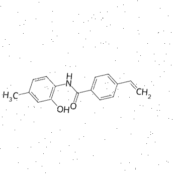 C=Cc1ccc(C(=O)Nc2ccc(C)cc2O)cc1